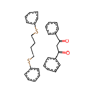 O=C(CC(=O)c1ccccc1)c1ccccc1.c1ccc(SCCCCSc2ccccc2)cc1